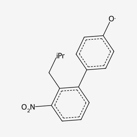 CC(C)Cc1c(-c2ccc([O])cc2)cccc1[N+](=O)[O-]